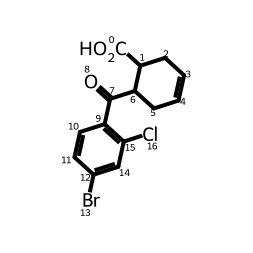 O=C(O)C1CC=CCC1C(=O)c1ccc(Br)cc1Cl